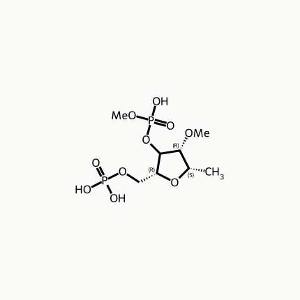 CO[C@H]1C(OP(=O)(O)OC)[C@@H](COP(=O)(O)O)O[C@H]1C